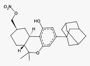 CC1(C)Oc2cc(C34CC5CC(CC(C5)C3)C4)cc(O)c2[C@@H]2C[C@H](CO[N+](=O)[O-])CC[C@H]21